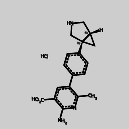 Cc1nc(N)c(C(=O)O)cc1-c1ccc([C@@]23CNC[C@@H]2C3)cc1.Cl